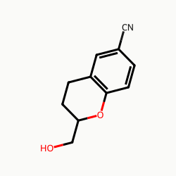 N#Cc1ccc2c(c1)CCC(CO)O2